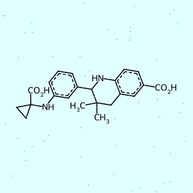 CC1(C)Cc2cc(C(=O)O)ccc2NC1c1cccc(NC2(C(=O)O)CC2)c1